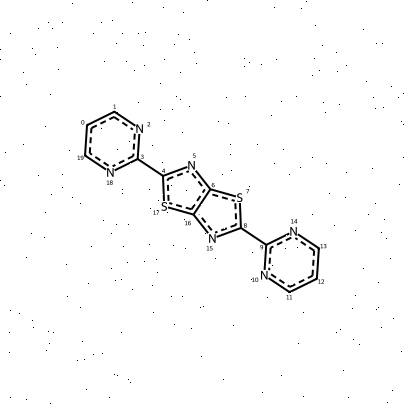 c1cnc(-c2nc3sc(-c4ncccn4)nc3s2)nc1